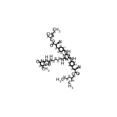 CCCCC(CC)COC(=O)/C(C#N)=C/c1ccc(Nc2nc(NCCCCNC(=O)Nc3nc(=O)cc(C)[nH]3)nc(Nc3ccc(/C=C(\C#N)C(=O)OCC(CC)CCCC)cc3)n2)cc1